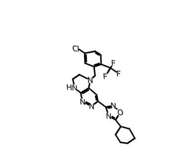 FC(F)(F)c1ccc(Cl)cc1CN1CCNc2nnc(-c3noc(C4CCCCC4)n3)cc21